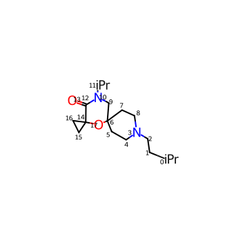 CC(C)CCN1CCC2(CC1)CN(C(C)C)C(=O)C1(CC1)O2